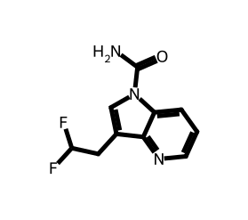 NC(=O)n1cc(CC(F)F)c2ncccc21